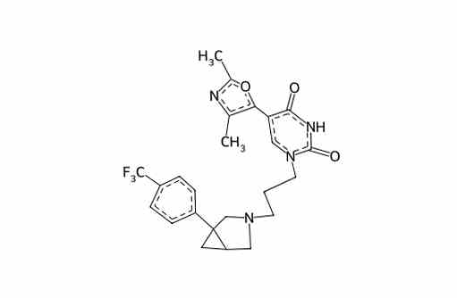 Cc1nc(C)c(-c2cn(CCCN3CC4CC4(c4ccc(C(F)(F)F)cc4)C3)c(=O)[nH]c2=O)o1